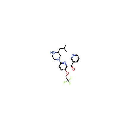 CC(C)C[C@H]1CN(c2ccc(OCC(F)(F)F)c(C(=O)c3cccnc3)n2)CCN1